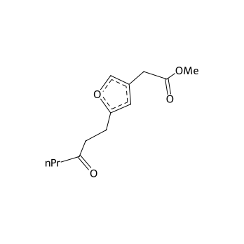 CCCC(=O)CCc1cc(CC(=O)OC)co1